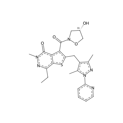 CCc1nn(C)c(=O)c2c(C(=O)N3C[C@H](O)CO3)c(Cc3c(C)nn(-c4ccccn4)c3C)sc12